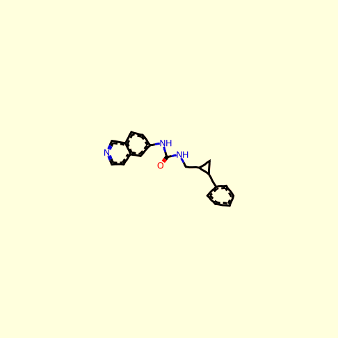 O=C(NCC1CC1c1ccccc1)Nc1ccc2cnccc2c1